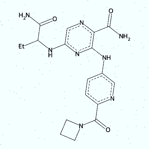 CCC(Nc1cnc(C(N)=O)c(Nc2ccc(C(=O)N3CCC3)nc2)n1)C(N)=O